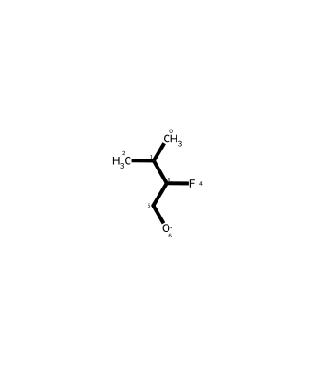 CC(C)C(F)C[O]